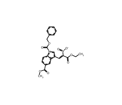 CCOC(=O)/C(=C/c1cn(C(=O)OCc2ccccc2)c2ccc(C(=O)OC)cc12)[N+](=O)[O-]